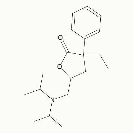 CCC1(c2ccccc2)CC(CN(C(C)C)C(C)C)OC1=O